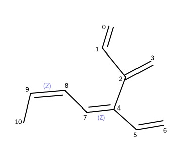 C=CC(=C)/C(C=C)=C\C=C/C